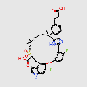 CC1(C)CCCC(C)(c2cccc(CCC(=O)O)c2)c2cnc([nH]2)-c2cc(ccc2F)Oc2c(F)cc3[nH]ccc3c2CC(C(=O)O)S(=O)(=O)C1